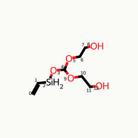 C=C[SiH2]OC(OCCO)OCCO